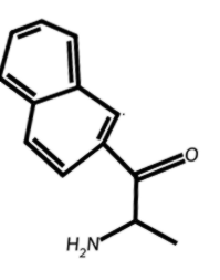 CC(N)C(=O)c1[c]c2ccccc2cc1